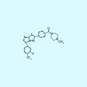 CN1CCN(C(=O)c2ccc(-c3nn4c(-c5ccc(C(F)(F)F)c(F)c5)cnc4s3)cc2)CC1